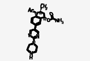 CC(=O)N1c2ccc(-c3cnc(N4CCNCC4)nc3)cc2[C@@H](OC(N)=O)C[C@H]1C